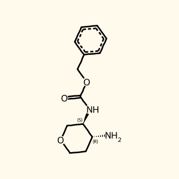 N[C@@H]1CCOC[C@H]1NC(=O)OCc1ccccc1